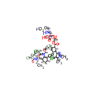 C=CCN(CC=C)C(=O)C(Cl)Cl.CC(C)OC(=O)c1cc(-c2nn(C)c(C(F)(F)F)c2Br)c(F)cc1Cl.CCOCN(C(=O)CCl)c1c(C)cccc1CC.O=C(O)CNCP(=O)(O)O